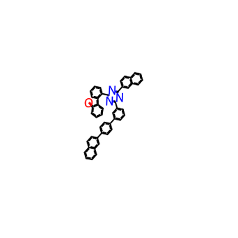 c1cc(-c2ccc(-c3ccc4ccccc4c3)cc2)cc(-c2nc(-c3ccc4ccccc4c3)nc(-c3cccc4oc5ccccc5c34)n2)c1